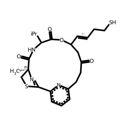 CC(C)C1NC(=O)[C@]2(C)CSC(=N2)c2cccc(n2)CCC(=O)CC(/C=C/CCS)OC1=O